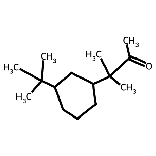 CC(=O)C(C)(C)C1CCCC(C(C)(C)C)C1